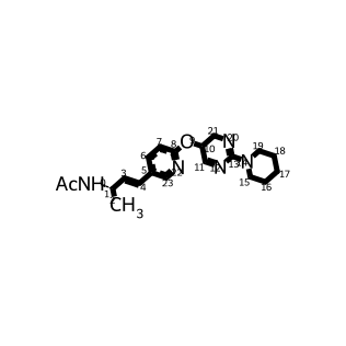 CC(=O)N[C@@H](C)/C=C/c1ccc(OC2C=NC(N3CCCCC3)=NC2)nc1